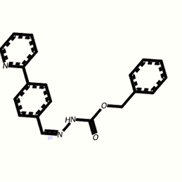 O=C(N/N=C\c1ccc(-c2ccccn2)cc1)OCc1ccccc1